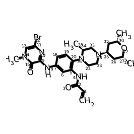 C=CC(=O)Nc1cc(Nc2nc(Br)cn(C)c2=O)ccc1N1CCN([C@@H]2C[C@@H](C)O[C@@H](C)C2)C[C@@H]1C